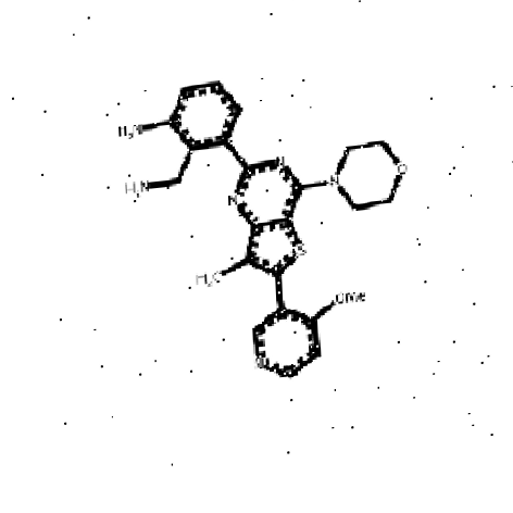 COc1ccncc1-c1sc2c(N3CCOCC3)nc(-c3cccc(N)c3CN)nc2c1C